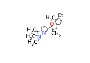 C=C(Cc1ccc(CC)c(C)c1)C(=O)c1ccc(C(=C)C(=C)/N=C\C)nc1